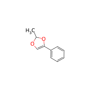 CC1OC=C(c2ccccc2)O1